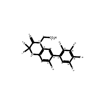 O=C(O)CN1C(=O)C(F)(F)Oc2cc(F)c(-c3cc(F)c(F)c(F)c3F)cc21